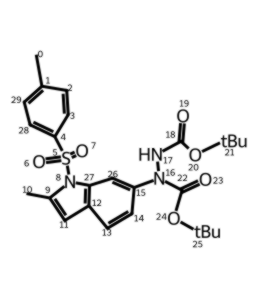 Cc1ccc(S(=O)(=O)n2c(C)cc3ccc(N(NC(=O)OC(C)(C)C)C(=O)OC(C)(C)C)cc32)cc1